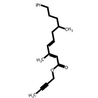 CC#CCOC(=O)C=C(C)C=CCC(C)CCCC(C)C